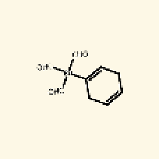 O=[CH][Ru]([CH]=O)([CH]=O)[C]1=CCC=CC1